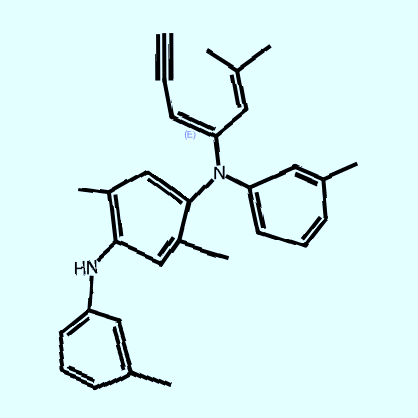 C#C/C=C(\C=C(C)C)N(c1cccc(C)c1)c1cc(C)c(Nc2cccc(C)c2)cc1C